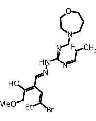 CC\C(Br)=C/C(/C=N/NC(/N=C\C(C)F)=N/CN1CCCOCC1)=C(/O)COC